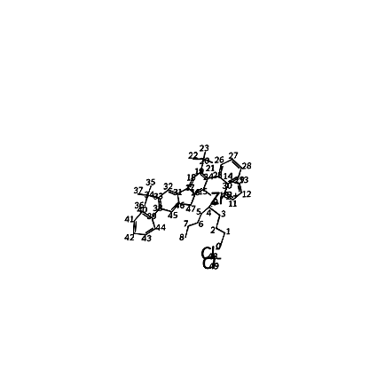 CCCC[C](CCCC)=[Zr+2]([C]1=CC=CC1)[c]1c2c(cc(C(C)(C)C)c1-c1ccccc1)-c1cc(C(C)(C)C)c(-c3ccccc3)cc1C2.[Cl-].[Cl-]